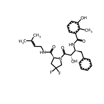 CC(C)=CCNC(=O)[C@@H]1CC(F)(F)CN1C(=O)[C@@H](O)[C@H](Cc1ccccc1)NC(=O)c1cccc(O)c1C